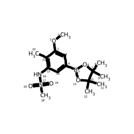 COc1cc(B2OC(C)(C)C(C)(C)O2)cc(NS(C)(=O)=O)c1C